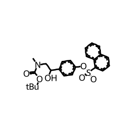 CN(CC(O)c1ccc(OS(=O)(=O)c2cccc3ccccc23)cc1)C(=O)OC(C)(C)C